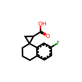 O=C(O)C1CC12CCCc1ccc(F)cc12